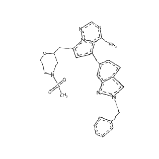 CS(=O)(=O)N1CCOC(Cc2cc(-c3ccc4cn(Cc5ccccc5)nc4c3)c3c(N)ncnn23)C1